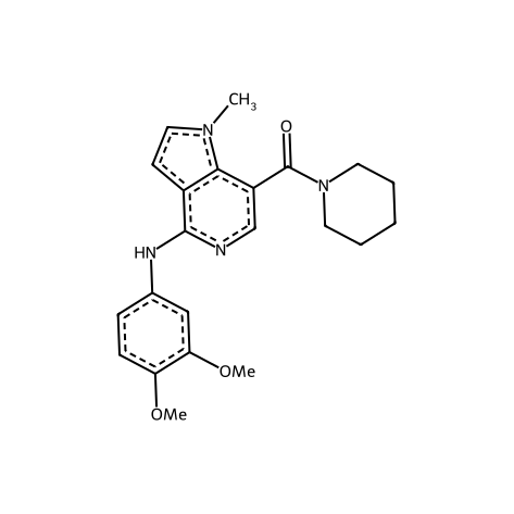 COc1ccc(Nc2ncc(C(=O)N3CCCCC3)c3c2ccn3C)cc1OC